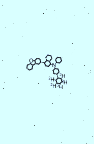 [2H]c1c([2H])c([2H])c(-c2ccc(N(c3ccccc3)c3ccc(-c4ccc5oc6ccccc6c5c4)c4ccccc34)cc2)c([2H])c1[2H]